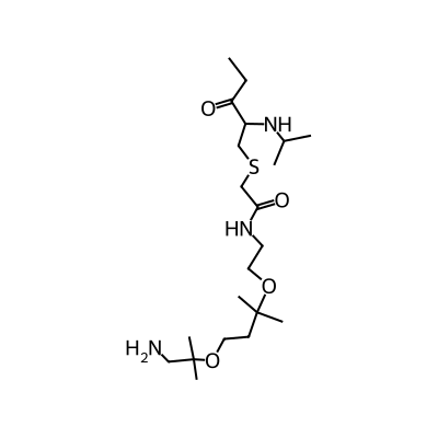 CCC(=O)C(CSCC(=O)NCCOC(C)(C)CCOC(C)(C)CN)NC(C)C